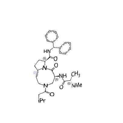 CN[C@@H](C)C(=O)N[C@H]1CN(C(=O)CC(C)C)C/C=C2/CC[C@@H](C(=O)NC(c3ccccc3)c3ccccc3)N2C1=O